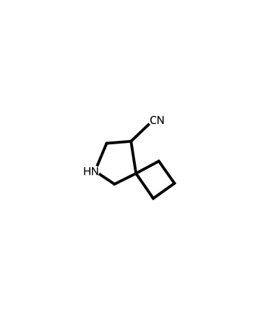 N#CC1CNCC12CCC2